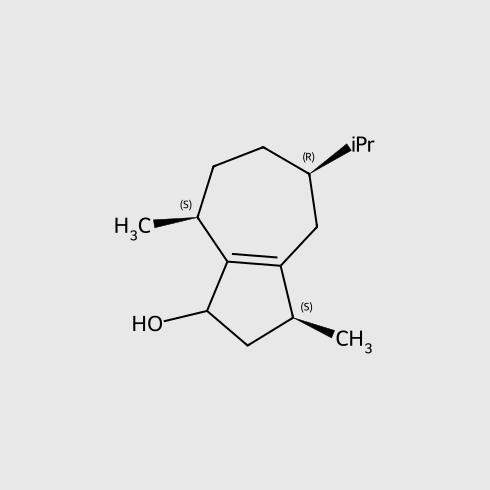 CC(C)[C@@H]1CC[C@H](C)C2=C(C1)[C@@H](C)CC2O